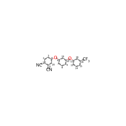 N#Cc1ccc(Oc2cccc(Oc3cccc(C(F)(F)F)c3)c2)cc1C#N